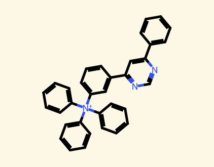 c1ccc(-c2cc(-c3cccc([N+](c4ccccc4)(c4ccccc4)c4ccccc4)c3)ncn2)cc1